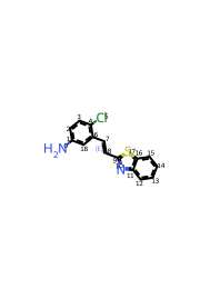 Nc1ccc(Cl)c(/C=C/c2nc3ccccc3s2)c1